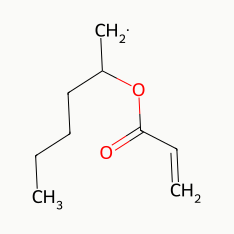 [CH2]C(CCCC)OC(=O)C=C